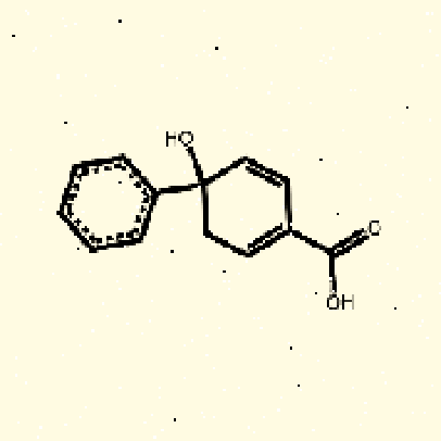 O=C(O)C1=CCC(O)(c2ccccc2)C=C1